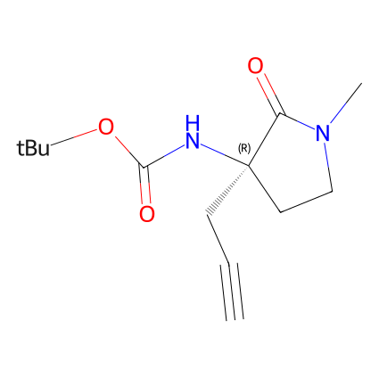 C#CC[C@@]1(NC(=O)OC(C)(C)C)CCN(C)C1=O